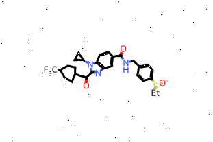 CC[S+]([O-])c1ccc(CNC(=O)c2ccc3c(c2)nc(C(=O)C2CCC(C(F)(F)F)CC2)n3C2CC2)cc1